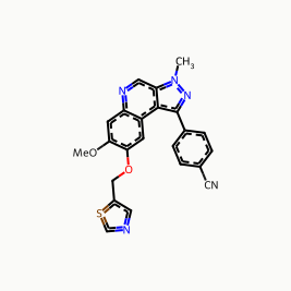 COc1cc2ncc3c(c(-c4ccc(C#N)cc4)nn3C)c2cc1OCc1cncs1